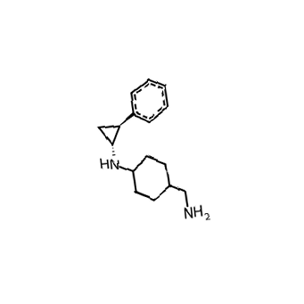 NCC1CCC(N[C@@H]2C[C@H]2c2ccccc2)CC1